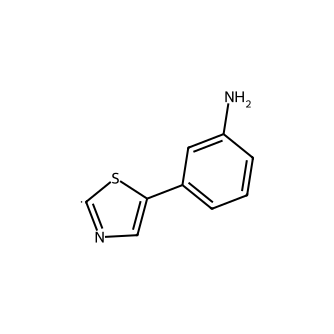 Nc1cccc(-c2cn[c]s2)c1